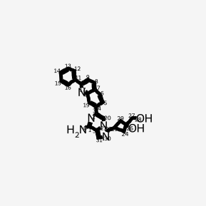 Nc1nc(-c2ccc3ccc(-c4ccccc4)nc3c2)cn2c(C3CC(O)(CO)C3)ncc12